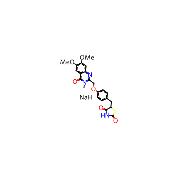 COc1cc2nc(COc3ccc(CC4SC(=O)NC4=O)cc3)n(C)c(=O)c2cc1OC.[NaH]